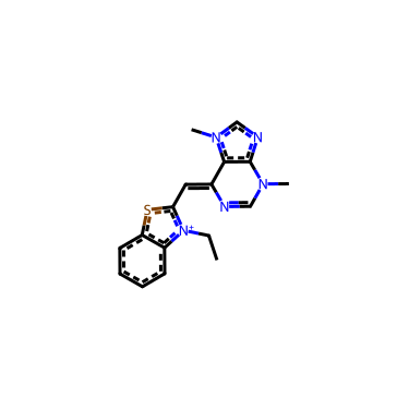 CC[n+]1c(C=C2N=CN(C)c3ncn(C)c32)sc2ccccc21